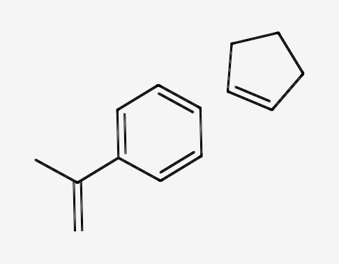 C1=CCCC1.C=C(C)c1ccccc1